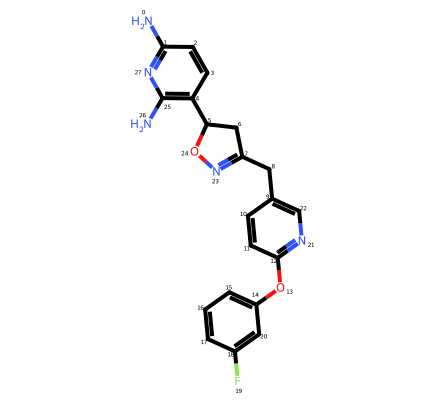 Nc1ccc(C2CC(Cc3ccc(Oc4cccc(F)c4)nc3)=NO2)c(N)n1